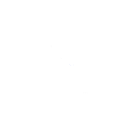 C=CC(=O)NCCCCCCC